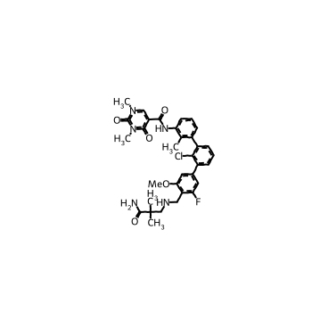 COc1cc(-c2cccc(-c3cccc(NC(=O)c4cn(C)c(=O)n(C)c4=O)c3C)c2Cl)cc(F)c1CNCC(C)(C)C(N)=O